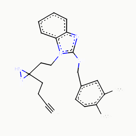 C#CCCC1(CCn2c(NCc3ccc(OC)c(OC)c3)nc3ccccc32)NN1